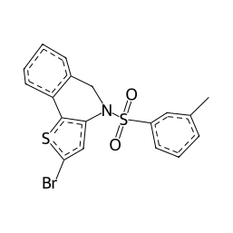 Cc1cccc(S(=O)(=O)N2Cc3ccccc3-c3sc(Br)cc32)c1